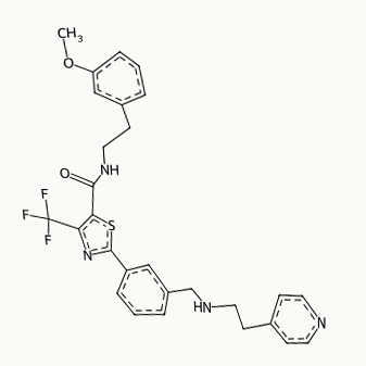 COc1cccc(CCNC(=O)c2sc(-c3cccc(CNCCc4ccncc4)c3)nc2C(F)(F)F)c1